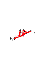 CCCCCCCCCCCCC(O)CN(CCCSSCCN1CCN(CCOC(=O)CCCCN(CC(O)CCCCCCCC)CC(O)CCCCCCCC)CC1)CC(O)CCCCCCCCCCCC